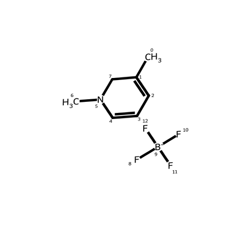 CC1=CC=CN(C)C1.F[B-](F)(F)F